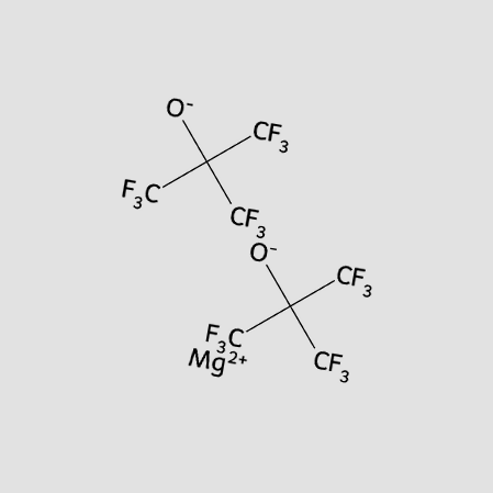 [Mg+2].[O-]C(C(F)(F)F)(C(F)(F)F)C(F)(F)F.[O-]C(C(F)(F)F)(C(F)(F)F)C(F)(F)F